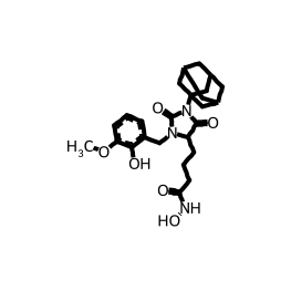 COc1cccc(CN2C(=O)N(C34CC5CC(CC(C5)C3)C4)C(=O)C2CCCC(=O)NO)c1O